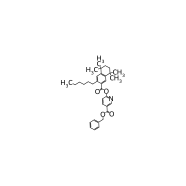 CCCCCCc1cc2c(cc1C(=O)Oc1ccc(C(=O)OCc3ccccc3)cn1)C(C)(C)CCC2(C)C